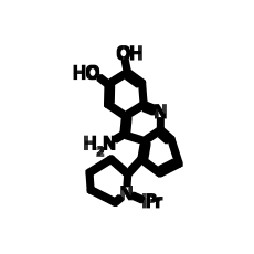 CC(C)N1CCCCC1c1cccc2nc3cc(O)c(O)cc3c(N)c12